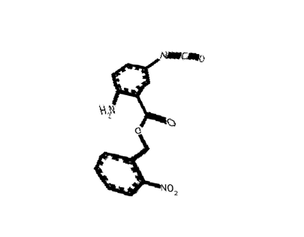 Nc1ccc(N=C=O)cc1C(=O)OCc1ccccc1[N+](=O)[O-]